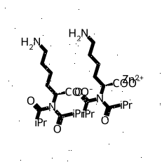 CC(C)C(=O)N(C(=O)C(C)C)[C@@H](CCCCN)C(=O)[O-].CC(C)C(=O)N(C(=O)C(C)C)[C@@H](CCCCN)C(=O)[O-].[Zn+2]